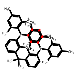 Cc1cc(C)c(P(c2cccc3c2Oc2c(P(c4c(C)cc(C)cc4C)c4c(C)cc(C)cc4C)cccc2C3(C)C)c2c(C)cc(C)cc2C)c(C)c1